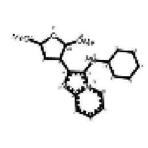 COC1CC(c2nc3ccccn3c2NC2CCCCC2)C(OC)O1